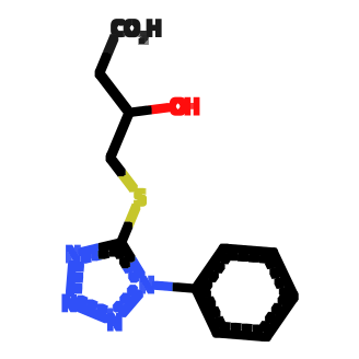 O=C(O)CC(O)CSc1nnnn1-c1ccccc1